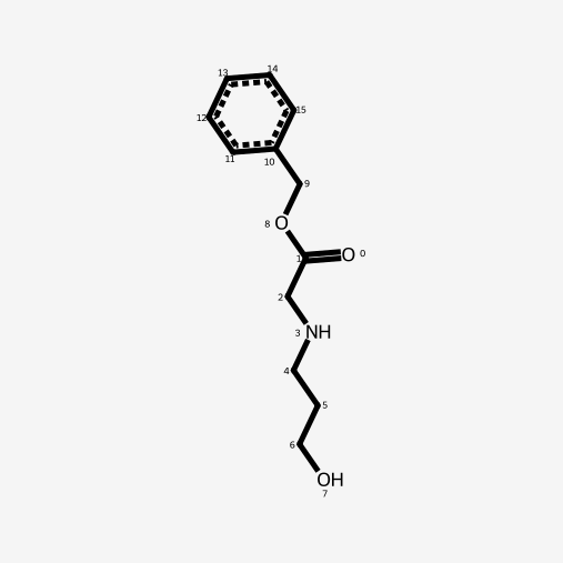 O=C(CNCCCO)OCc1ccccc1